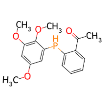 COc1cc(OC)c(OC)c(Pc2ccccc2C(C)=O)c1